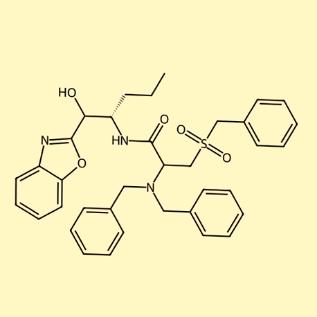 CCC[C@H](NC(=O)C(CS(=O)(=O)Cc1ccccc1)N(Cc1ccccc1)Cc1ccccc1)C(O)c1nc2ccccc2o1